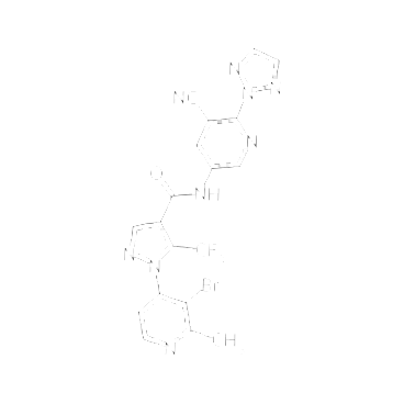 Cc1nccc(-n2ncc(C(=O)Nc3cnc(-n4nccn4)c(C#N)c3)c2C(F)(F)F)c1Br